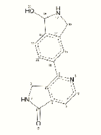 O=C1NCc2c1ccnc2-c1ccc2c(c1)CNC2O